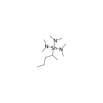 CCC[CH](C)[Sn]([N](C)C)([N](C)C)[N](C)C